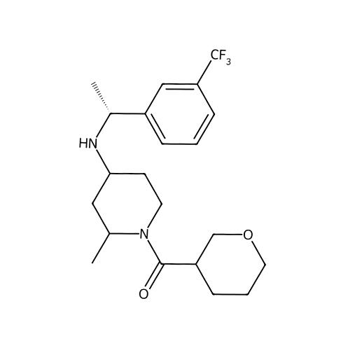 CC1CC(N[C@H](C)c2cccc(C(F)(F)F)c2)CCN1C(=O)C1CCCOC1